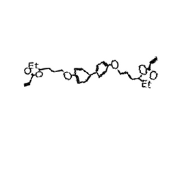 C=CC(=O)OC(CC)CCCOc1ccc(-c2ccc(OCCCC(CC)OC(=O)C=C)cc2)cc1